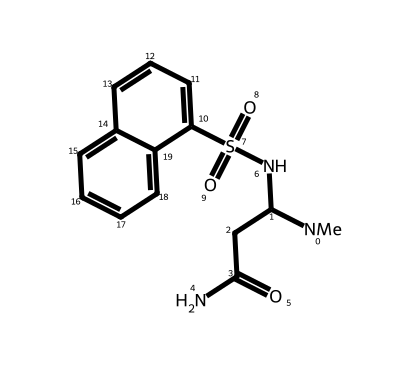 CNC(CC(N)=O)NS(=O)(=O)c1cccc2ccccc12